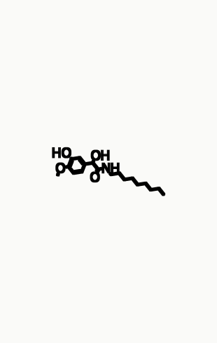 CCCCCCCCCNC(=O)C(O)c1ccc(OC)c(O)c1